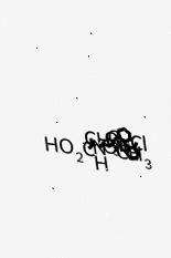 CC(NCOC(=O)N(C)[C@]1(c2ccccc2Cl)CCCCC1=O)C(=O)O